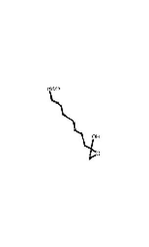 CCCCCCCCCCCCCC1(O)CO1